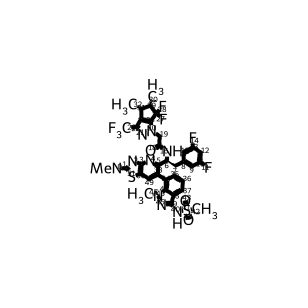 CNc1nc2nc([C@H](Cc3cc(F)cc(F)c3)NC(=O)Cn3nc(C(F)(F)F)c4c3C(F)(F)[C@H](C)[C@@H]4C)c(-c3cccc4c(NS(C)(=O)=O)nn(C)c34)cc2s1